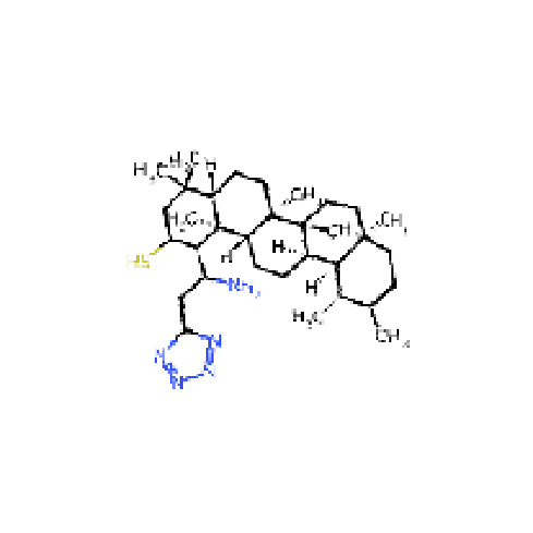 C[C@@H]1[C@H]2[C@H]3CC[C@@H]4[C@@]5(C)C(C(N)CC6N=NN=N6)C(S)CC(C)(C)[C@@H]5CC[C@@]4(C)[C@]3(C)CC[C@@]2(C)CC[C@H]1C